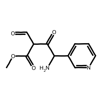 COC(=O)C(C=O)C(=O)C(N)c1cccnc1